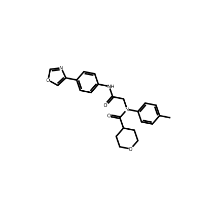 Cc1ccc(N(CC(=O)Nc2ccc(-c3cocn3)cc2)C(=O)C2CCOCC2)cc1